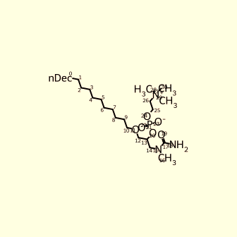 CCCCCCCCCCCCCCCCCCCCOCC(CN(C)C(N)=O)OP(=O)([O-])OCC[N+](C)(C)C